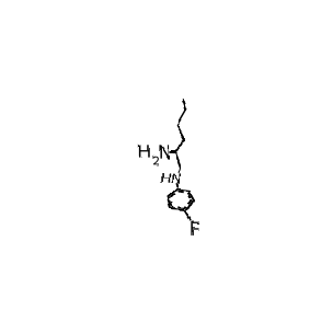 CCCCC(N)CNc1ccc(F)cc1